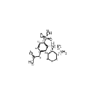 N[C@@H]1CCCC[C@H]1N.O=C(O)Cc1ccc(S(=O)(=O)O)cc1.[Pt]